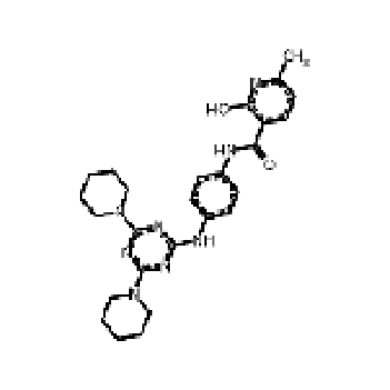 Cc1ccc(C(=O)Nc2ccc(Nc3nc(N4CCCCC4)nc(N4CCCCC4)n3)cc2)c(O)n1